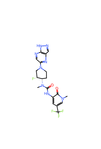 CN(C(=O)Nc1cc(C(F)(F)F)cn(C)c1=O)[C@H]1CCN(c2cnc3[nH]ncc3n2)C[C@H]1F